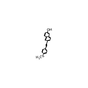 CSc1ccc(C#Cc2ccc3cc(O)ccc3c2)cc1